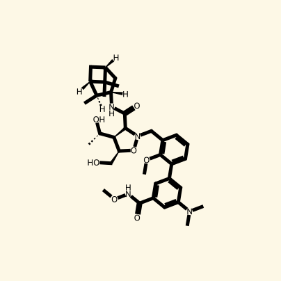 CONC(=O)c1cc(-c2cccc(CN3O[C@@H](CO)[C@@H]([C@H](C)O)C3C(=O)N[C@H]3C[C@H]4C[C@@H]([C@@H]3C)C4(C)C)c2OC)cc(N(C)C)c1